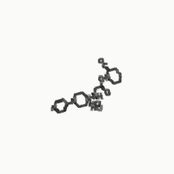 Cl.Cl.O=C=C1CCCCN1OC(=O)CNN1CCN(c2ccncc2)CC1